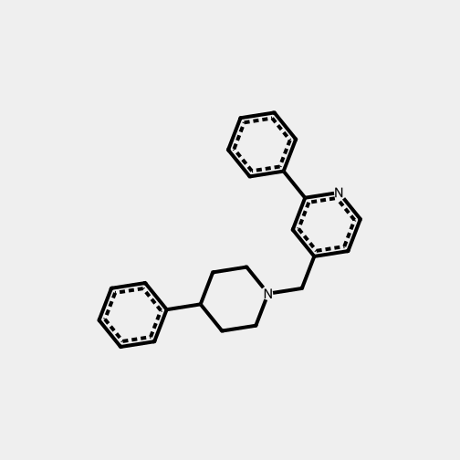 c1ccc(-c2cc(CN3CCC(c4ccccc4)CC3)ccn2)cc1